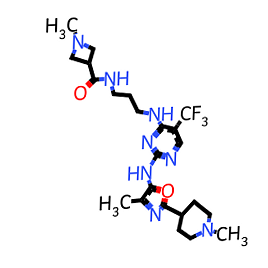 Cc1nc(C2CCN(C)CC2)oc1Nc1ncc(C(F)(F)F)c(NCCCNC(=O)C2CN(C)C2)n1